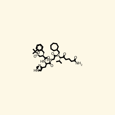 CC(C)[C@@H](C(=O)CCCC(N)=O)N(CC1CCCCCC1)C(=O)CNC(=O)C(Cc1c[nH]cn1)NC(=O)[C@H](Cc1ccccc1)CS(=O)(=O)C(C)(C)C